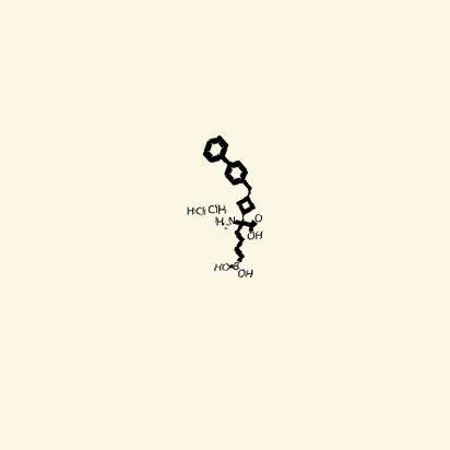 Cl.Cl.NC(CCCCB(O)O)(C(=O)O)[C@H]1C[C@@H](Cc2ccc(-c3ccccc3)cc2)C1